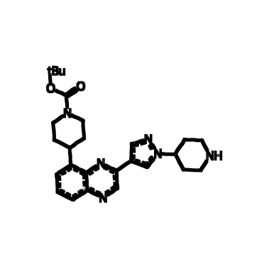 CC(C)(C)OC(=O)N1CCC(c2cccc3ncc(-c4cnn(C5CCNCC5)c4)nc23)CC1